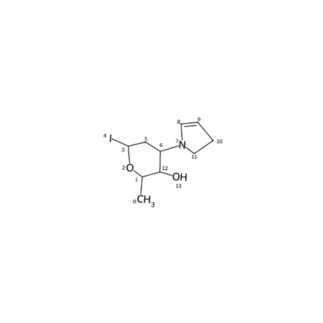 CC1OC(I)CC(N2C=CCC2)C1O